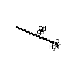 CCCCCCCCCCCCCCCCCCCCCCOC(=O)[C@H](C)N.O=C(O)C(F)(F)F